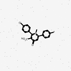 Cn1c(-c2ccc(F)cc2)cc(=O)c(C(=O)O)c1-c1ccc(Cl)cc1